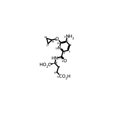 Nc1ccc(C(=O)N[C@@H](CCC(=O)O)C(=O)O)nc1OC1CC1